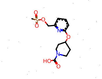 CS(=O)(=O)OCc1cccc(OC2CCN(C(=O)O)CC2)n1